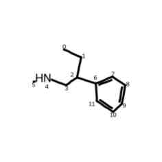 CCC(CNC)c1ccccc1